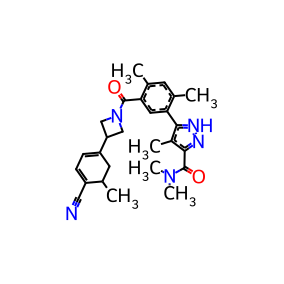 Cc1cc(C)c(-c2[nH]nc(C(=O)N(C)C)c2C)cc1C(=O)N1CC(C2=CC=C(C#N)C(C)C2)C1